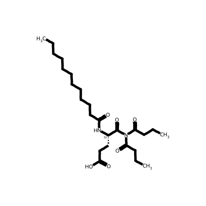 CCCCCCCCCCCC(=O)N[C@@H](CCC(=O)O)C(=O)N(C(=O)CCC)C(=O)CCC